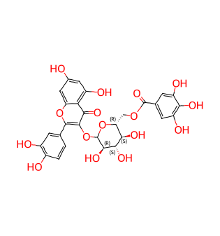 O=C(OC[C@H]1OC(Oc2c(-c3ccc(O)c(O)c3)oc3cc(O)cc(O)c3c2=O)[C@H](O)[C@@H](O)[C@@H]1O)c1cc(O)c(O)c(O)c1